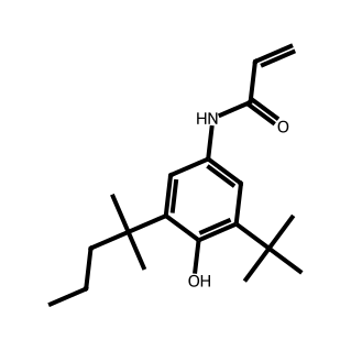 C=CC(=O)Nc1cc(C(C)(C)C)c(O)c(C(C)(C)CCC)c1